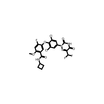 COc1cc(F)c(Oc2c(Cl)cc(-n3nc(C(F)F)c(=O)[nH]c3=O)cc2Cl)cc1C(=O)NC1CCC1